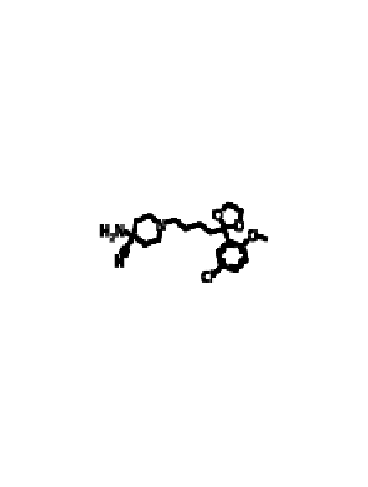 COc1ccc(Cl)cc1C1(CCCCN2CCC(N)(C#N)CC2)OCCO1